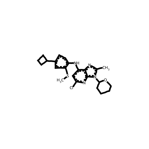 CSc1cc(C2CCC2)ccc1Nc1cc(Cl)nc2c1nc(C)n2C1CCCCO1